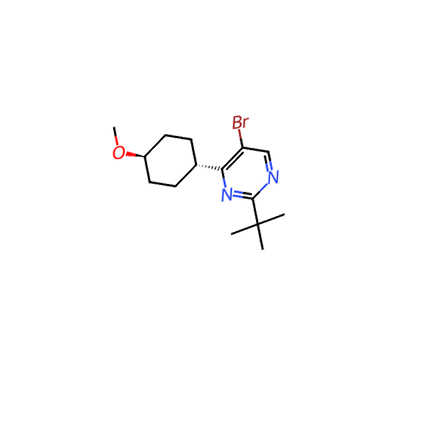 CO[C@H]1CC[C@H](c2nc(C(C)(C)C)ncc2Br)CC1